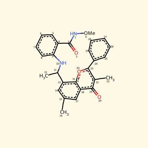 CONC(=O)c1ccccc1NC(C)c1cc(C)cc2c(=O)c(C)c(-c3ccccc3)oc12